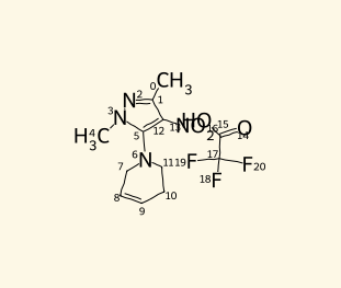 Cc1nn(C)c(N2CC=CCC2)c1[N+](=O)[O-].O=C(O)C(F)(F)F